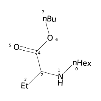 CCCCCCNC(CC)C(=O)OCCCC